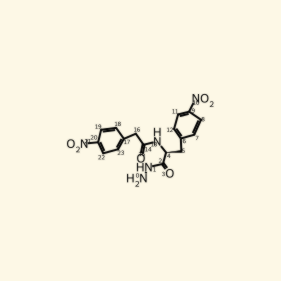 NNC(=O)[C@H](Cc1ccc([N+](=O)[O-])cc1)NC(=O)Cc1ccc([N+](=O)[O-])cc1